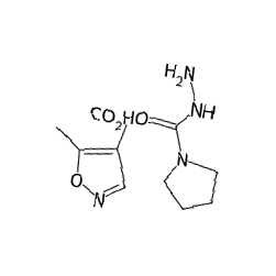 Cc1oncc1C(=O)O.NNC(=O)N1CCCC1